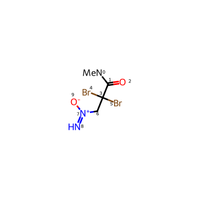 CNC(=O)C(Br)(Br)C[N+](=N)[O-]